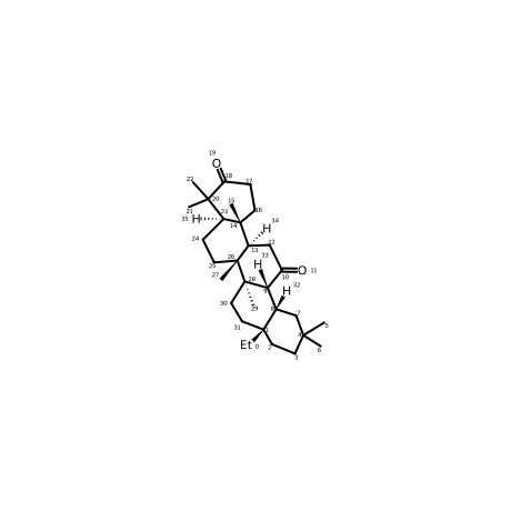 CC[C@]12CCC(C)(C)C[C@H]1[C@H]1C(=O)C[C@@H]3[C@@]4(C)CCC(=O)C(C)(C)[C@@H]4CC[C@@]3(C)[C@]1(C)CC2